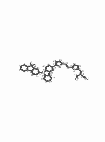 CC1(C)c2ccccc2-c2ccc(-n3c4ccccc4c4cc(-c5ccc(C=Cc6ccc(C=C(C#N)C=O)s6)s5)ccc43)cc21